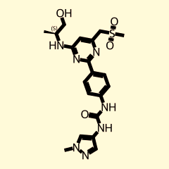 C[C@@H](CO)Nc1cc(CS(C)(=O)=O)nc(-c2ccc(NC(=O)Nc3cnn(C)c3)cc2)n1